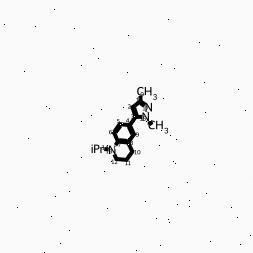 Cc1cc(-c2ccc3c(c2)CCCN3C(C)C)n(C)n1